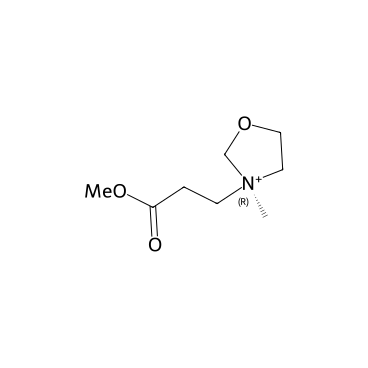 COC(=O)CC[N@+]1(C)CCOC1